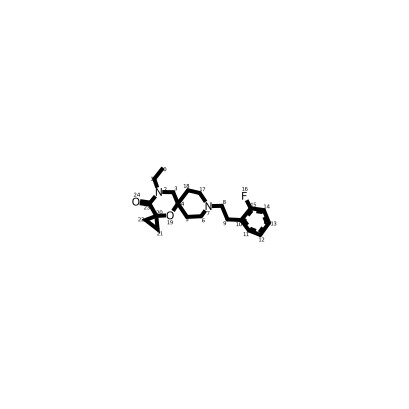 CCN1CC2(CCN(CCc3ccccc3F)CC2)OC2(CC2)C1=O